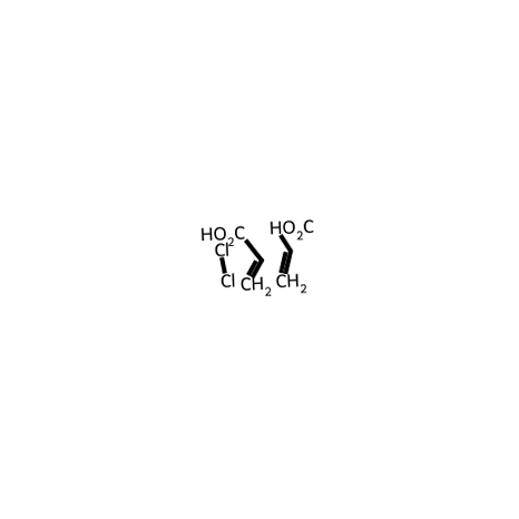 C=CC(=O)O.C=CC(=O)O.ClCl